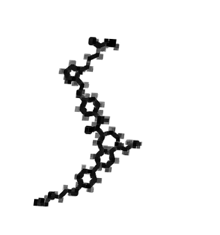 CCCCOCCOc1ccc(-c2ccc3c(c2)C=C(C(=O)Nc2ccc(SCc4nccn4CCCC(N)=O)cc2)CCN3CC(C)C)cc1